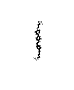 CCCCCCc1ccc(CC[C@H]2CC[C@H]([C@H]3CC[C@H](CCCCC)CC3)CC2)cc1